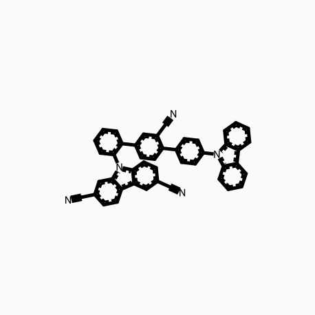 N#Cc1ccc2c(c1)c1ccc(C#N)cc1n2-c1ccccc1-c1ccc(-c2ccc(-n3c4ccccc4c4ccccc43)cc2)c(C#N)c1